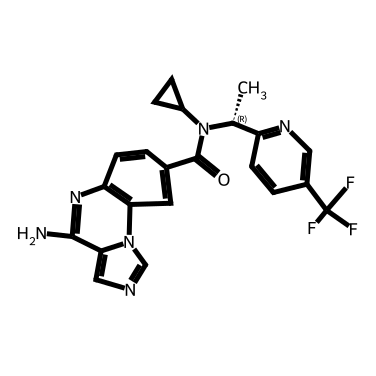 C[C@H](c1ccc(C(F)(F)F)cn1)N(C(=O)c1ccc2nc(N)c3cncn3c2c1)C1CC1